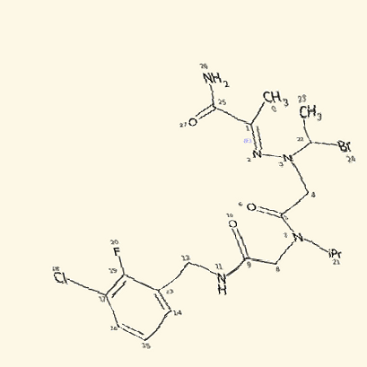 C/C(=N\N(CC(=O)N(CC(=O)NCc1cccc(Cl)c1F)C(C)C)C(C)Br)C(N)=O